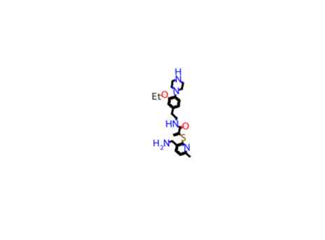 C=C(Sc1nc(C)ccc1CN)C(=O)NCCc1ccc(N2CCNCC2)c(OCC)c1